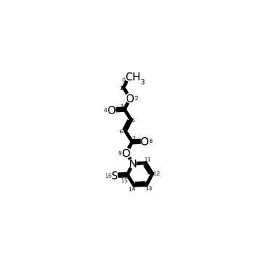 CCOC(=O)/C=C/C(=O)On1ccccc1=S